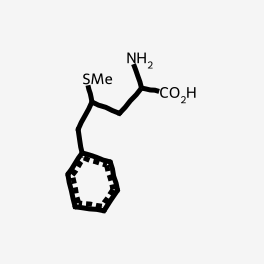 CSC(Cc1ccccc1)CC(N)C(=O)O